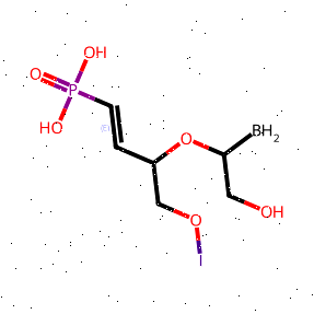 BC(CO)OC(/C=C/P(=O)(O)O)COI